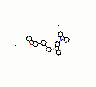 c1cc(-c2cccc(-n3c4ccccc4c4cc(-n5c6ccccc6c6ccccc65)ccc43)c2)cc(-c2ccc3oc4ccccc4c3c2)c1